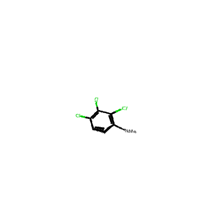 [CH2]Nc1ccc(Cl)c(Cl)c1Cl